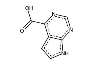 O=C(O)c1ncnc2[nH]ccc12